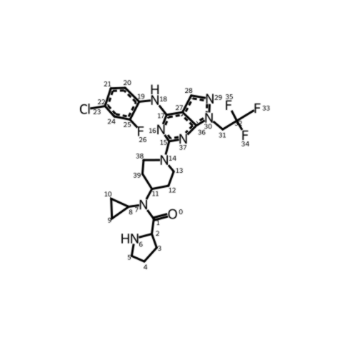 O=C(C1CCCN1)N(C1CC1)C1CCN(c2nc(Nc3ccc(Cl)cc3F)c3cnn(CC(F)(F)F)c3n2)CC1